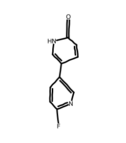 O=c1ccc(-c2ccc(F)nc2)c[nH]1